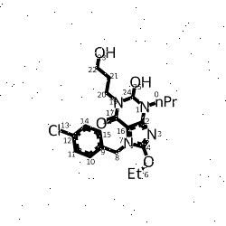 CCCN1c2nc(OCC)n(Cc3ccc(Cl)cc3)c2C(=O)N(CCCO)C1O